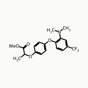 COC(=O)C(C)Oc1ccc(Oc2ccc(C(F)(F)F)cc2N(C)C)cc1